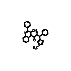 Cn1cnc(C(NC(=O)c2c(O)c(-c3ccccc3)nc3ccccc23)c2ccccc2)c1